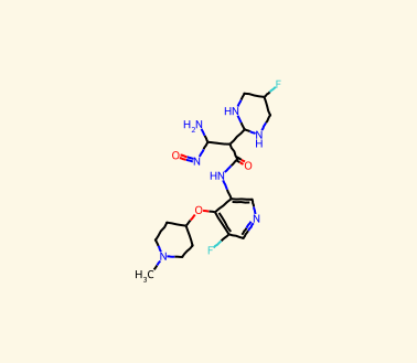 CN1CCC(Oc2c(F)cncc2NC(=O)C(C(N)N=O)C2NCC(F)CN2)CC1